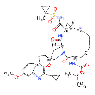 COc1ccc2c3c(c(C4CC4)nc2c1)O[C@]1(CC3)C[C@H]2C(=O)N[C@]3(C(=O)NS(=O)(=O)C4(C)CC4)C[C@H]3/C=C\CCCC[C@H](NC(=O)OC(C)C)C(=O)N2C1